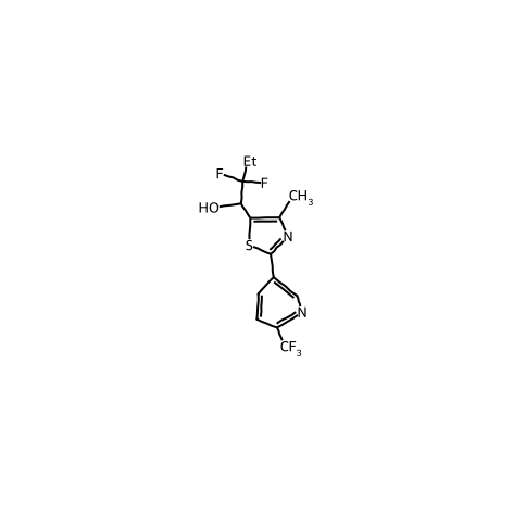 CCC(F)(F)C(O)c1sc(-c2ccc(C(F)(F)F)nc2)nc1C